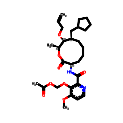 C=CCO[C@@H]1[C@@H](CC2CCCC2)CCCC[C@H](NC(=O)c2nccc(OC)c2OCOC(C)=O)C(=O)O[C@H]1C